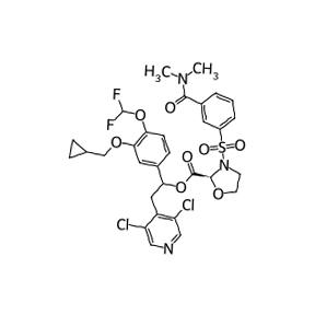 CN(C)C(=O)c1cccc(S(=O)(=O)N2CCO[C@H]2C(=O)OC(Cc2c(Cl)cncc2Cl)c2ccc(OC(F)F)c(OCC3CC3)c2)c1